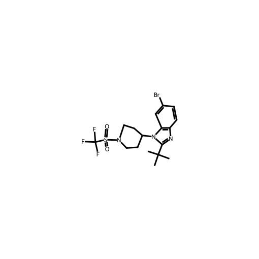 CC(C)(C)c1nc2ccc(Br)cc2n1C1CCN(S(=O)(=O)C(F)(F)F)CC1